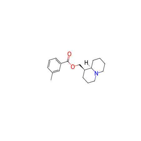 Cc1cccc(C(=O)OC[C@@H]2CCCN3CCCC[C@H]23)c1